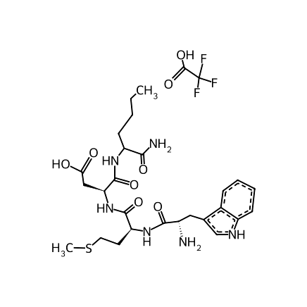 CCCCC(NC(=O)[C@H](CC(=O)O)NC(=O)[C@H](CCSC)NC(=O)[C@@H](N)Cc1c[nH]c2ccccc12)C(N)=O.O=C(O)C(F)(F)F